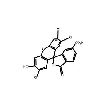 O=C(O)c1ccc2c(c1)C1(OC2=O)c2cc(Cl)c(O)cc2Oc2cc(O)c(Cl)cc21